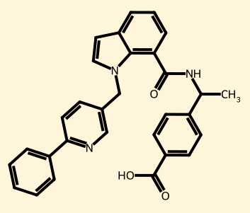 CC(NC(=O)c1cccc2ccn(Cc3ccc(-c4ccccc4)nc3)c12)c1ccc(C(=O)O)cc1